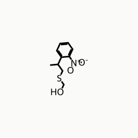 CC(CSCO)c1ccccc1[N+](=O)[O-]